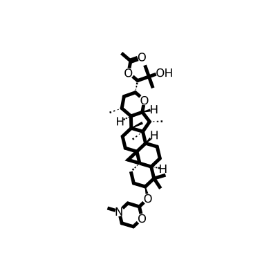 CC(=O)OC([C@H]1C[C@@H](C)[C@H]2[C@H](O1)[C@H](C)[C@@]1(C)[C@@H]3CC[C@H]4C(C)(C)[C@@H](OC5CN(C)CCO5)CC[C@@]45CC35CC[C@]21C)C(C)(C)O